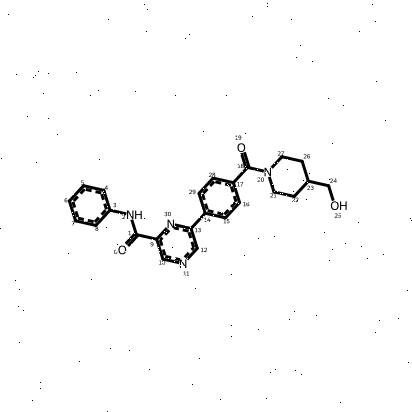 O=C(Nc1ccccc1)c1cncc(-c2ccc(C(=O)N3CCC(CO)CC3)cc2)n1